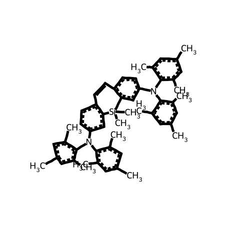 Cc1cc(C)c(N(c2ccc3c(c2)[Si](C)(C)c2cc(N(c4c(C)cc(C)cc4C)c4c(C)cc(C)cc4C)ccc2C=C3)c2c(C)cc(C)cc2C)c(C)c1